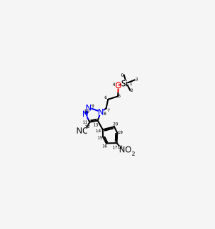 C[Si](C)(C)OCCCn1nnc(C#N)c1-c1ccc([N+](=O)[O-])cc1